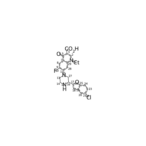 CCn1cc(C(=O)O)c(=O)c2cc(F)c(N3CCNC(c4cc5cc(Cl)ccc5o4)C3)cc21